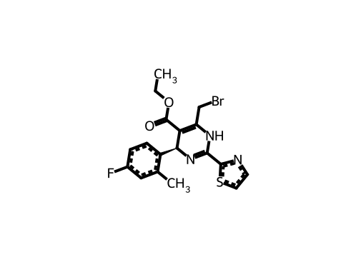 CCOC(=O)C1=C(CBr)NC(c2nccs2)=N[C@H]1c1ccc(F)cc1C